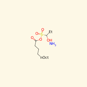 CCCCCCCCCCCC(=O)OS(=O)(=O)C(O)CC.N